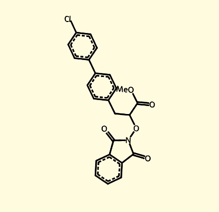 COC(=O)C(Cc1ccc(-c2ccc(Cl)cc2)cc1)ON1C(=O)c2ccccc2C1=O